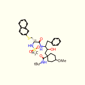 COC1CCC(CC(O)C(Cc2ccccc2)NC(=O)[C@@H](CSc2ccc3ccccc3c2)NS(C)(=O)=O)(C(=O)NC(C)(C)C)CC1